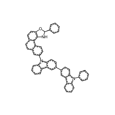 c1ccc(C2Nc3c(ccc4ccc5cc(-n6c7ccccc7c7cc(-c8ccc9c(c8)c8ccccc8n9-c8ccccc8)ccc76)ccc5c34)O2)cc1